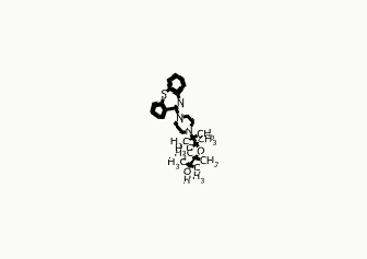 CC(C)(O)C(C)(C)OC(C)(C)C(C)(C)N1CCN(C2=Nc3ccccc3Sc3ccccc32)CC1